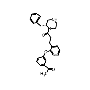 CC(=O)c1cccc(Oc2ccccc2CCC(=O)N2CCNC[C@H]2Cc2ccccc2)c1